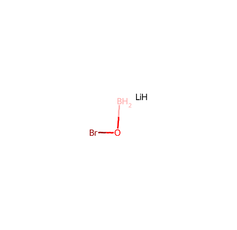 BOBr.[LiH]